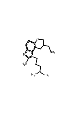 CN(C)CCCn1c(N)nc2ccc3c(c21)CC(CN)CO3